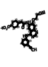 C#Cc1cccc(Nc2ncnc3cc(OCCOC)c(NC(=O)C=C4CCN(C(=O)O)CC4)cc23)c1